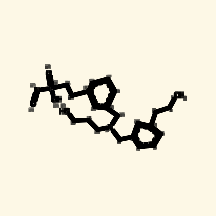 CCCc1cccc(CN(CCCO)Cc2cccc(CCP(=O)(O)N=O)c2)c1